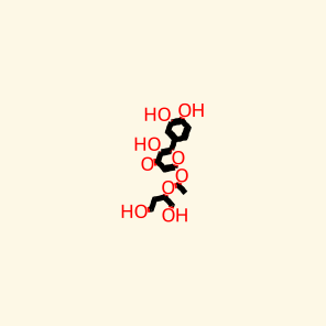 CC(Oc1cc(=O)c(O)c(-c2ccc(O)c(O)c2)o1)OC(CO)CCO